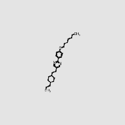 CCCCCCCOc1ccc(-c2ncc(CCC3CCC(CCC)CC3)cn2)cc1